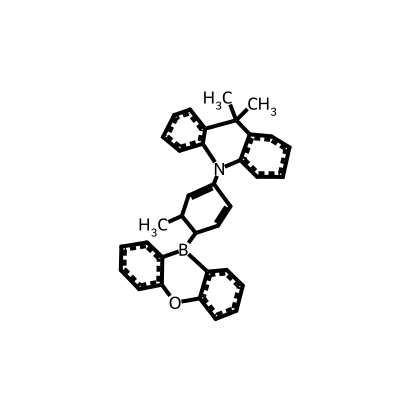 CC1C=C(N2c3ccccc3C(C)(C)c3ccccc32)C=CC1B1c2ccccc2Oc2ccccc21